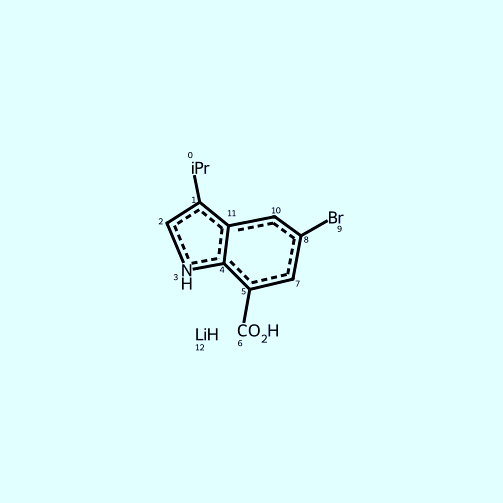 CC(C)c1c[nH]c2c(C(=O)O)cc(Br)cc12.[LiH]